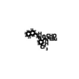 CC(C)(C)C(C=O)NC(=O)c1cc(C(F)(F)F)ccc1NCCc1ccc2ccccc2c1